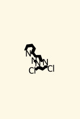 Clc1cc(Cl)n2nc(-c3ccccn3)cc2n1